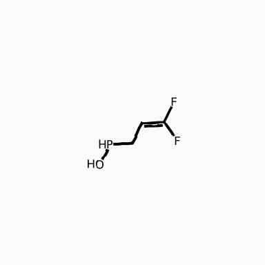 OPCC=C(F)F